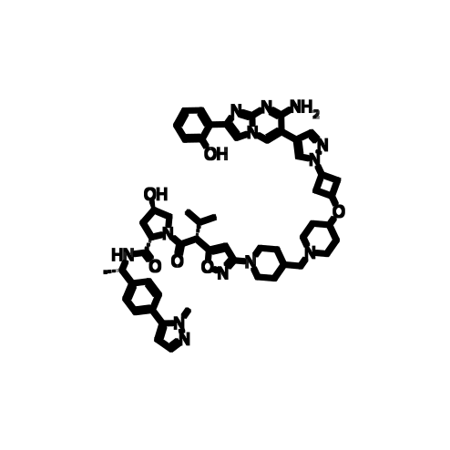 CC(C)[C@@H](C(=O)N1C[C@H](O)C[C@H]1C(=O)N[C@@H](C)c1ccc(-c2ccnn2C)cc1)c1cc(N2CCC(CN3CCC(OC4CC(n5cc(-c6cn7cc(-c8ccccc8O)nc7nc6N)cn5)C4)CC3)CC2)no1